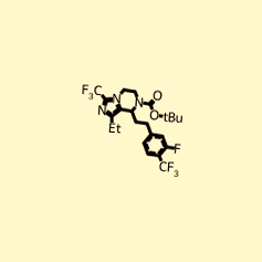 CCc1nc(C(F)(F)F)n2c1C(CCc1ccc(C(F)(F)F)c(F)c1)N(C(=O)OC(C)(C)C)CC2